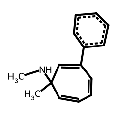 CNC1(C)C=CC=CC(c2ccccc2)=C1